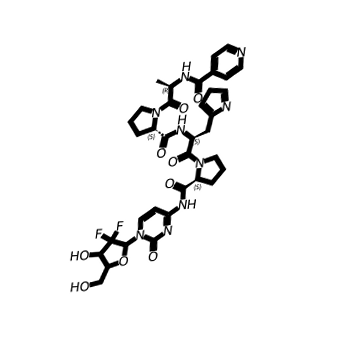 C[C@@H](NC(=O)c1ccncc1)C(=O)N1CCC[C@H]1C(=O)N[C@@H](CC1=CCC=N1)C(=O)N1CCC[C@H]1C(=O)Nc1ccn(C2OC(CO)C(O)C2(F)F)c(=O)n1